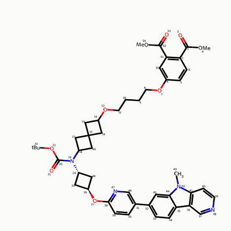 COC(=O)c1ccc(OCCCCOC2CC3(C2)CC(N(C(=O)OC(C)(C)C)[C@H]2C[C@H](Oc4ccc(-c5ccc6c7cnccc7n(C)c6c5)cn4)C2)C3)cc1C(=O)OC